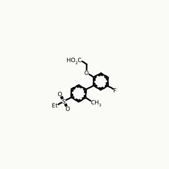 CCS(=O)(=O)c1ccc(-c2cc(F)ccc2OCC(=O)O)c(C)c1